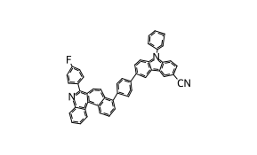 N#Cc1ccc2c(c1)c1cc(-c3ccc(-c4cccc5c4ccc4c(-c6ccc(F)cc6)nc6ccccc6c45)cc3)ccc1n2-c1ccccc1